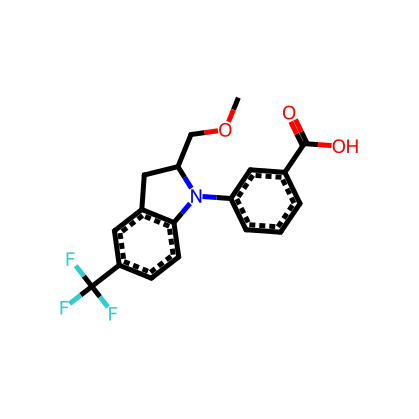 COCC1Cc2cc(C(F)(F)F)ccc2N1c1cccc(C(=O)O)c1